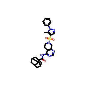 Cc1c(S(=O)(=O)N2CCc3c(ncnc3NC(=O)C34CC5CC(CC(C5)C3)C4)C2)cnn1-c1ccccc1